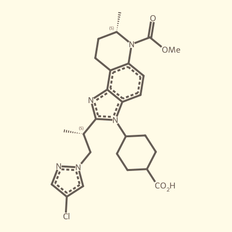 COC(=O)N1c2ccc3c(nc([C@@H](C)Cn4cc(Cl)cn4)n3C3CCC(C(=O)O)CC3)c2CC[C@@H]1C